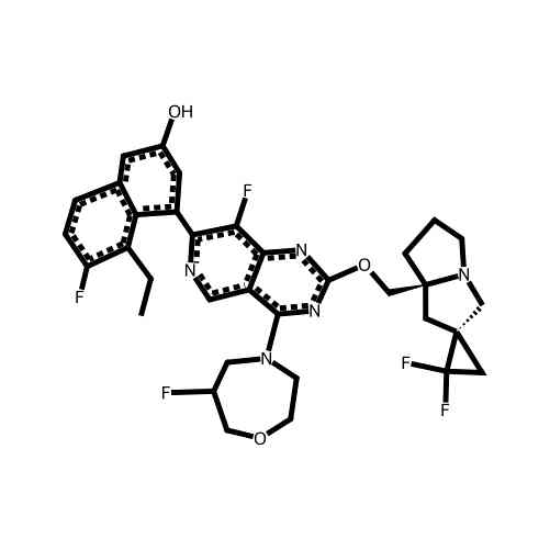 CCc1c(F)ccc2cc(O)cc(-c3ncc4c(N5CCOCC(F)C5)nc(OC[C@@]56CCCN5C[C@@]5(CC5(F)F)C6)nc4c3F)c12